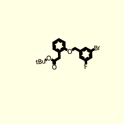 CC(C)(C)OC(=O)Cc1ccccc1OCc1cc(F)cc(Br)c1